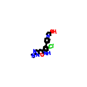 CN(C)c1ncc(/C=C2\C(=O)Nc3cc(Cl)c(-c4ccc(N5CCC(O)C5)cc4)cc32)cn1